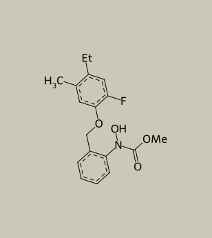 CCc1cc(F)c(OCc2ccccc2N(O)C(=O)OC)cc1C